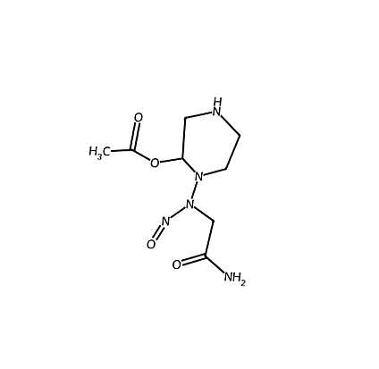 CC(=O)OC1CNCCN1N(CC(N)=O)N=O